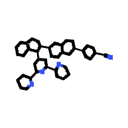 N#Cc1ccc(-c2ccc3cc(-c4ccc5ccccc5c4-c4cc(-c5ccccn5)nc(-c5ccccn5)c4)ccc3c2)cc1